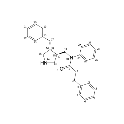 O=C(CCc1ccccc1)N(C[C@H]1CNC[C@@H]1Cc1ccccc1)c1ccccc1